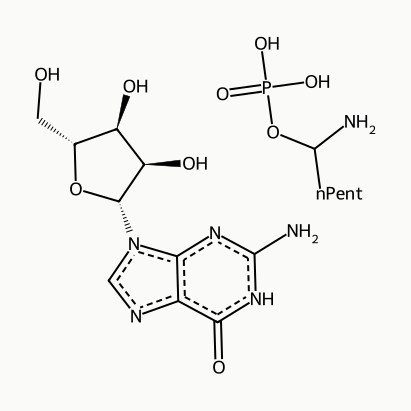 CCCCCC(N)OP(=O)(O)O.Nc1nc2c(ncn2[C@@H]2O[C@H](CO)[C@@H](O)[C@H]2O)c(=O)[nH]1